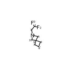 FC(F)CN1CC2(C[CH]C2)C1